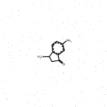 CC1CC(=O)c2cc(N)ccc21